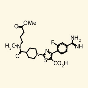 COC(=O)CCCN(C)C(=O)C1CCN(c2nc(-c3ccc(C(=N)N)cc3F)c(C(=O)O)s2)CC1